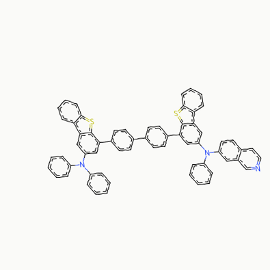 c1ccc(N(c2ccccc2)c2cc(-c3ccc(-c4ccc(-c5cc(N(c6ccccc6)c6ccc7ccncc7c6)cc6c5sc5ccccc56)cc4)cc3)c3sc4ccccc4c3c2)cc1